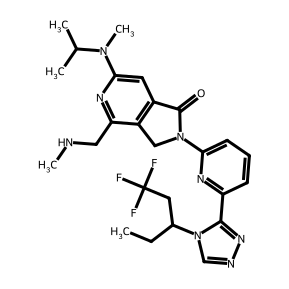 CCC(CC(F)(F)F)n1cnnc1-c1cccc(N2Cc3c(cc(N(C)C(C)C)nc3CNC)C2=O)n1